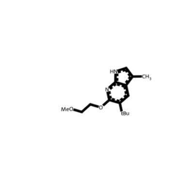 COCCOc1nc2[nH]cc(C)c2cc1C(C)(C)C